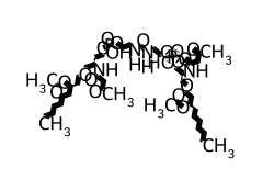 CCCCCCC[C@H](CCOC[C@H](COP(=O)(O)OCCNC(=O)NCCOP(=O)(O)OCC[C@@H](COCC[C@@H](CCCCCCC)OC(C)=O)NC(=O)CC(C)=O)NC(=O)CC(C)=O)OC(C)=O